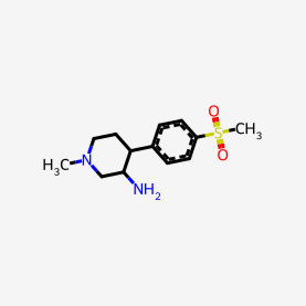 CN1CCC(c2ccc(S(C)(=O)=O)cc2)C(N)C1